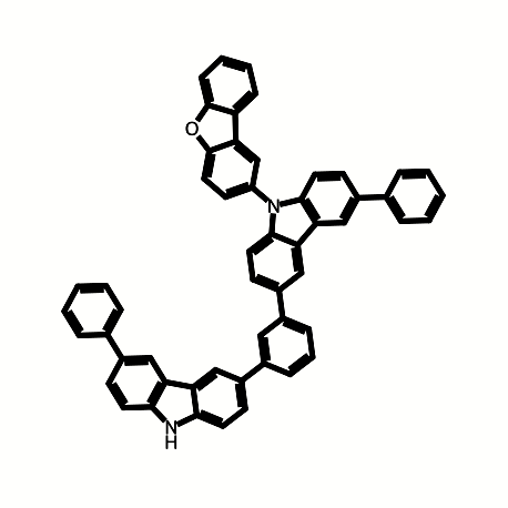 c1ccc(-c2ccc3[nH]c4ccc(-c5cccc(-c6ccc7c(c6)c6cc(-c8ccccc8)ccc6n7-c6ccc7oc8ccccc8c7c6)c5)cc4c3c2)cc1